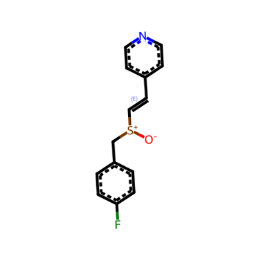 [O-][S+](/C=C/c1ccncc1)Cc1ccc(F)cc1